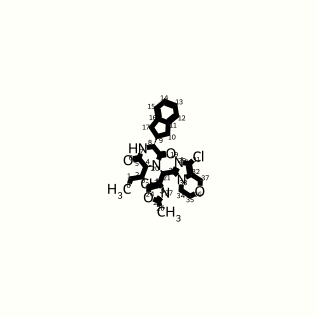 CC[C@H](C)[C@@H]1C(=O)N[C@H](C2Cc3ccccc3C2)C(=O)N1[C@@H](c1coc(C)n1)c1nc(Cl)c2n1CCOC2